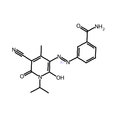 Cc1c(/N=N/c2cccc(C(N)=O)c2)c(O)n(C(C)C)c(=O)c1C#N